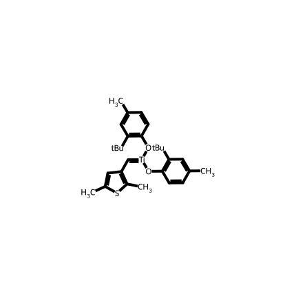 Cc1ccc([O][Ti](=[CH]c2cc(C)sc2C)[O]c2ccc(C)cc2C(C)(C)C)c(C(C)(C)C)c1